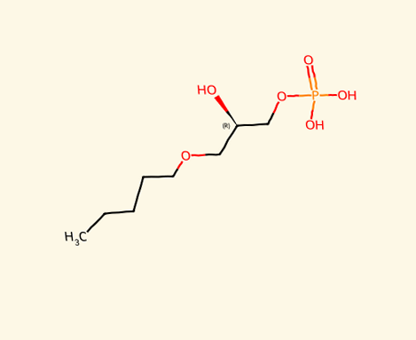 CCCCCOC[C@@H](O)COP(=O)(O)O